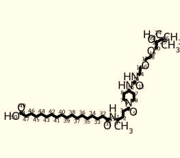 CC(CCC(=O)N1CCC(NC(=O)NCCOCCOCC(=O)C(C)(C)C)CC1)NC(=O)CCCCCCCCCCCCCCCCC(=O)O